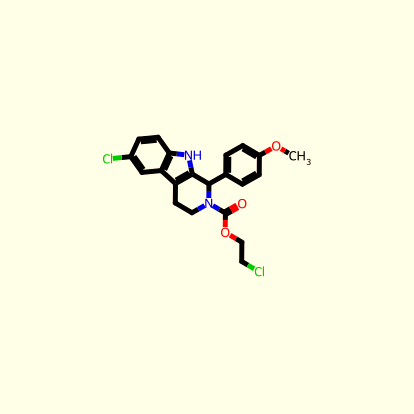 COc1ccc(C2c3[nH]c4ccc(Cl)cc4c3CCN2C(=O)OCCCl)cc1